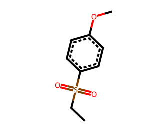 CCS(=O)(=O)c1c[c]c(OC)cc1